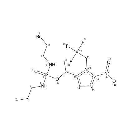 CCCNP(=O)(NCCBr)OC(C)c1cnc([N+](=O)[O-])n1CC(F)(F)F